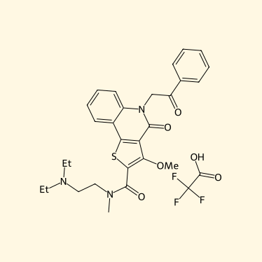 CCN(CC)CCN(C)C(=O)c1sc2c(c1OC)c(=O)n(CC(=O)c1ccccc1)c1ccccc21.O=C(O)C(F)(F)F